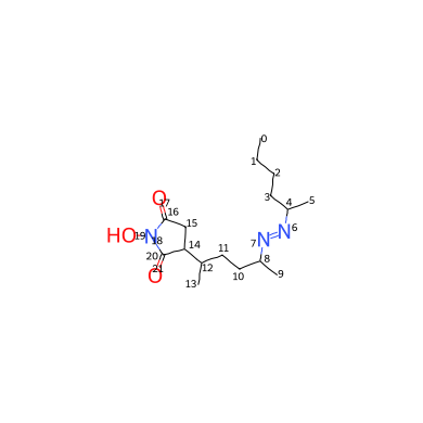 CCCCC(C)N=NC(C)CCC(C)C1CC(=O)N(O)C1=O